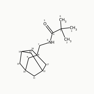 CC(C)(C)C(=O)NCC12CC3CC(CC(C3)C1)C2